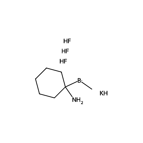 C[B]C1(N)CCCCC1.F.F.F.[KH]